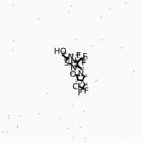 O=C1C[C@H](CC(F)(F)Cl)CN1Cc1nc2sc(CO)nn2c1C(F)(F)F